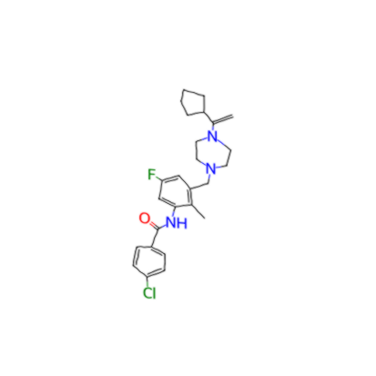 C=C(C1CCCC1)N1CCN(Cc2cc(F)cc(NC(=O)c3ccc(Cl)cc3)c2C)CC1